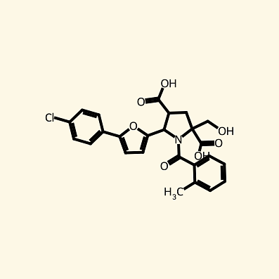 Cc1ccccc1C(=O)N1C(c2ccc(-c3ccc(Cl)cc3)o2)C(C(=O)O)CC1(CO)C(=O)O